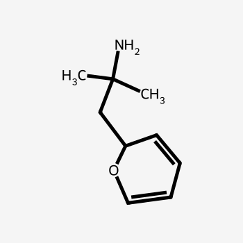 CC(C)(N)CC1C=CC=CO1